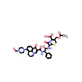 CC(=O)OCC1=C(C(=O)O)N2C(=O)C(NC(=O)C(NC(=O)c3cn4c5c(c(N6CCN(C=O)CC6)ccc5c3=O)CCC4)c3ccccc3)C2SC1